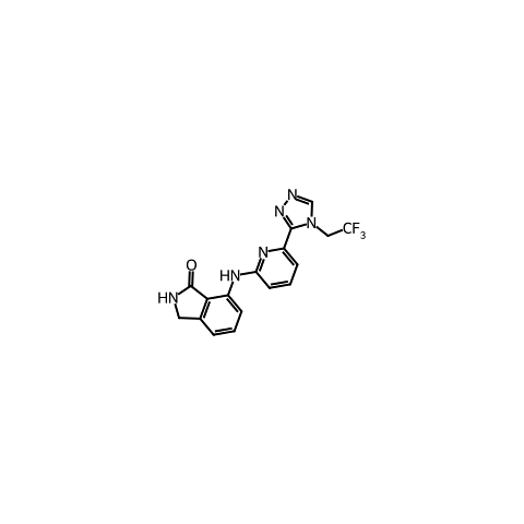 O=C1NCc2cccc(Nc3cccc(-c4nncn4CC(F)(F)F)n3)c21